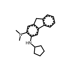 CN(C)c1cc2c(cc1NC1CCCC1)-c1ccccc1C2